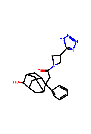 O=C(CC1(c2ccccc2)C2CC3CC1CC(C2)C3O)N1CC(c2nnn[nH]2)C1